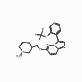 CN1CCCC(COc2ccc3ncc(-c4ccccc4OC(F)(F)F)n3n2)C1